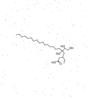 CCCCCCCCCCCCCCCCC(O)(CC(CC)CC(=O)O)C(O)CO